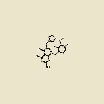 COc1c(C)cnc(Cn2cc(Cn3ccnc3)c(=O)c3c(Cl)nc(N)nc32)c1C